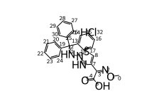 CO/N=C(\C(=O)O)C1=CSN(NC(c2ccccc2)(c2ccccc2)c2ccccc2)N1.Cl